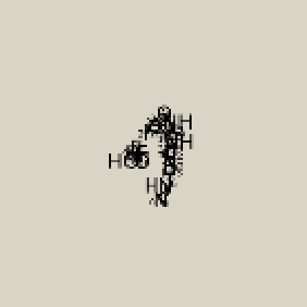 CN(C)CCNCC1CCN(c2ccc(NC=C3C(=O)NC(=O)c4ccc(I)cc43)cc2)CC1.O=C(O)C(F)(F)F